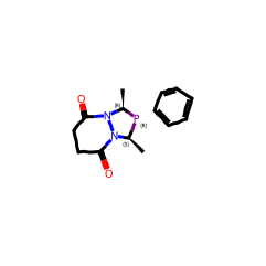 C[C@@H]1N2C(=O)CCC(=O)N2[C@H](C)[P@]1c1ccccc1